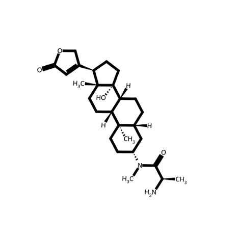 C[C@@H](N)C(=O)N(C)[C@@H]1CC[C@]2(C)[C@H](CC[C@@H]3[C@H]2CC[C@]2(C)[C@@H](C4=CC(=O)OC4)CC[C@@]32O)C1